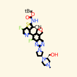 CN1CCN([C@@H]2CCN(c3ncc4c5c(c(-c6ncc(F)c7sc(NC(=O)OC(C)(C)C)c(C#N)c67)c(F)c4n3)COC5)C2)[C@H](CO)C1